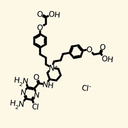 Nc1nc(N)c(C(=O)NC2CCC[N+](CCCc3ccc(OCC(=O)O)cc3)(CCCc3ccc(OCC(=O)O)cc3)C2)nc1Cl.[Cl-]